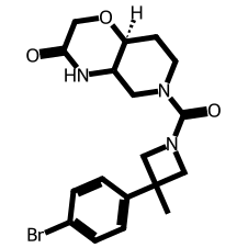 CC1(c2ccc(Br)cc2)CN(C(=O)N2CC[C@@H]3OCC(=O)NC3C2)C1